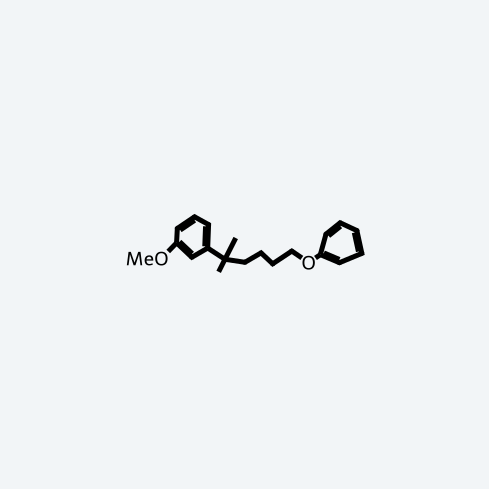 COc1cccc(C(C)(C)CCCCOc2ccccc2)c1